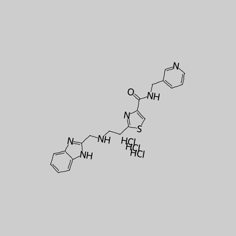 Cl.Cl.Cl.O=C(NCc1cccnc1)c1csc(CCNCc2nc3ccccc3[nH]2)n1